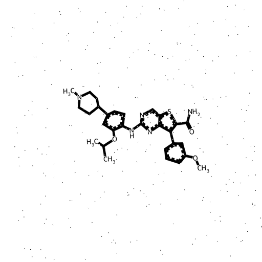 COc1cccc(-c2c(C(N)=O)sc3cnc(Nc4ccc(C5CCN(C)CC5)cc4OC(C)C)nc23)c1